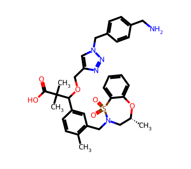 Cc1ccc(C(OCc2cn(Cc3ccc(CN)cc3)nn2)C(C)(C)C(=O)O)cc1CN1C[C@@H](C)Oc2ccccc2S1(=O)=O